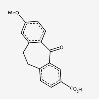 COc1ccc2c(c1)CCc1ccc(C(=O)O)cc1C2=O